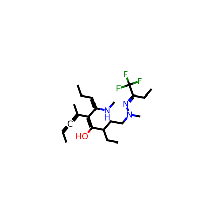 CC=C=C(C)C(/C(=C\CC)NC)=C(\O)C(CC)CCN(C)/N=C(\CC)C(F)(F)F